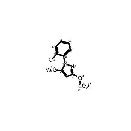 COc1cc(OC(=O)O)nn1-c1ccccc1Cl